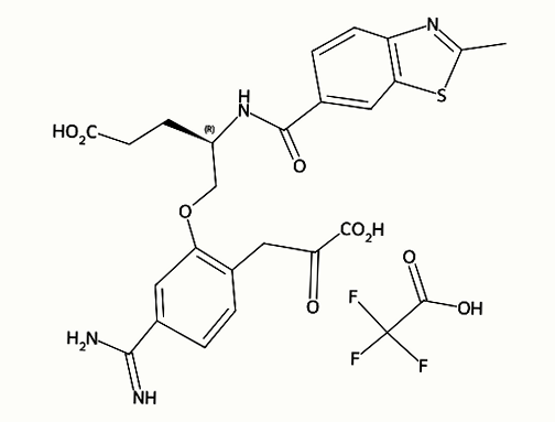 Cc1nc2ccc(C(=O)N[C@H](CCC(=O)O)COc3cc(C(=N)N)ccc3CC(=O)C(=O)O)cc2s1.O=C(O)C(F)(F)F